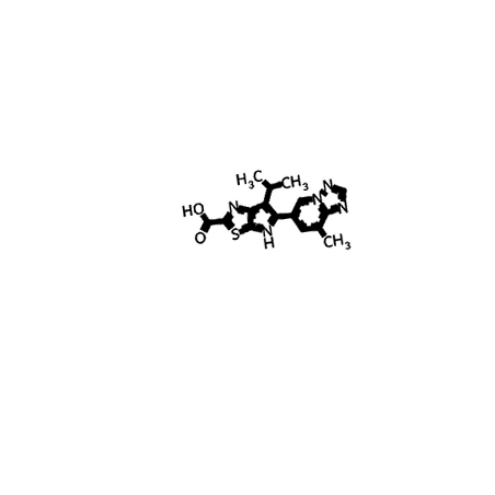 Cc1cc(-c2[nH]c3sc(C(=O)O)nc3c2C(C)C)cn2ncnc12